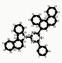 c1ccc(-c2nc(-c3cc4ccc5ccccc5c4c4ccccc34)nc(-n3c4ccccc4c4c5ccccc5ccc43)n2)cc1